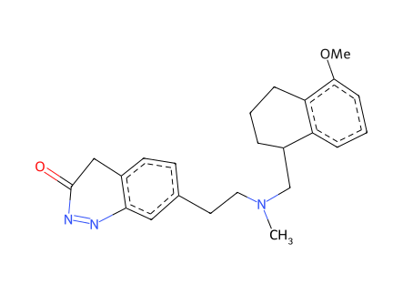 COc1cccc2c1CCCC2CN(C)CCc1ccc2c(c1)N=NC(=O)C2